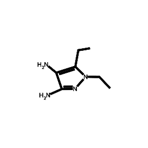 CCc1c(N)c(N)nn1CC